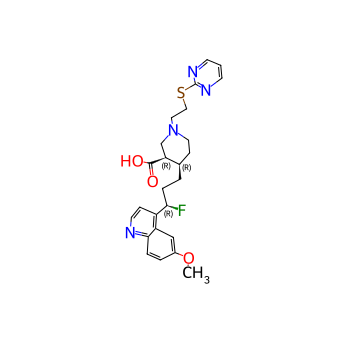 COc1ccc2nccc([C@H](F)CC[C@@H]3CCN(CCSc4ncccn4)C[C@@H]3C(=O)O)c2c1